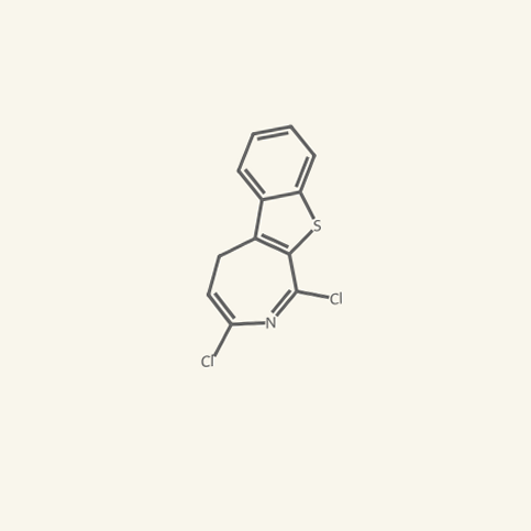 ClC1=CCc2c(sc3ccccc23)C(Cl)=N1